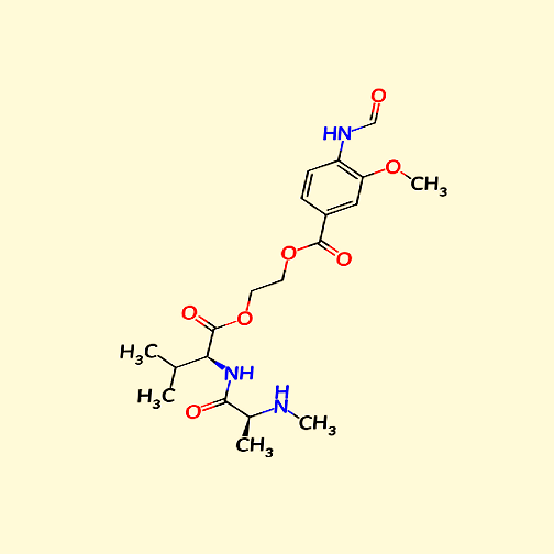 CN[C@@H](C)C(=O)N[C@H](C(=O)OCCOC(=O)c1ccc(NC=O)c(OC)c1)C(C)C